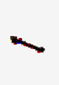 CCSC1CC(=O)N(CCC(=O)NCCCOCCOCCOCCCCCC(=O)C2CCC2)C1=O